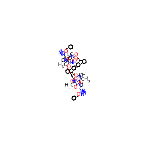 C[C@@H](OCC#CC#CCO[C@H](C)C(NC(=O)[C@H](C)N(C)C(=O)OCC1c2ccccc2-c2ccccc21)C(=O)N1CCC[C@H]1Cn1nnnc1OCc1ccccc1)C(NC(=O)[C@H](C)N(C)C(=O)OCC1c2ccccc2-c2ccccc21)C(=O)N1CCC[C@H]1Cn1nnnc1OCc1ccccc1